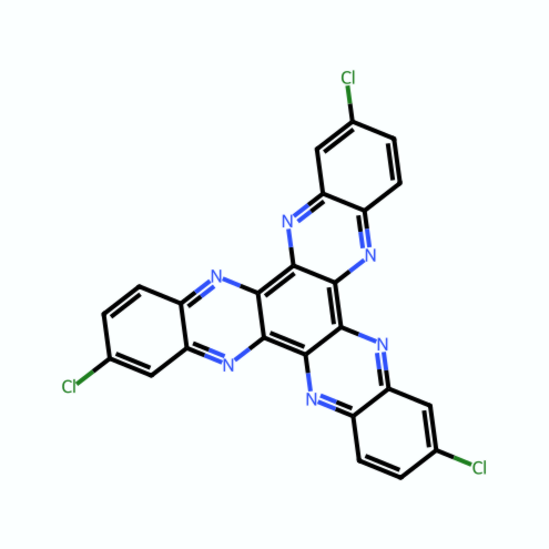 Clc1ccc2nc3c4nc5cc(Cl)ccc5nc4c4nc5cc(Cl)ccc5nc4c3nc2c1